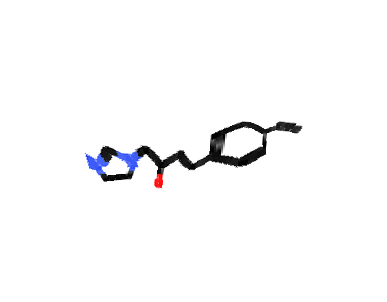 COc1ccc(CCC(=O)Cn2ccnc2)cc1